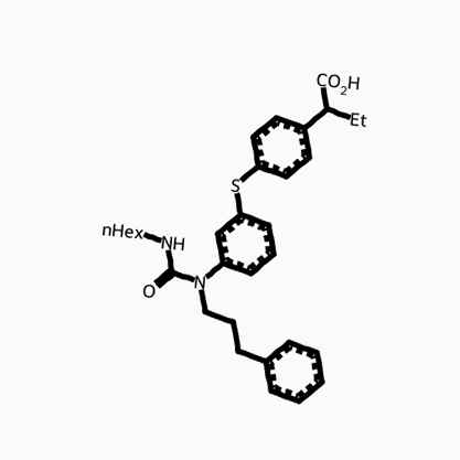 CCCCCCNC(=O)N(CCCc1ccccc1)c1cccc(Sc2ccc(C(CC)C(=O)O)cc2)c1